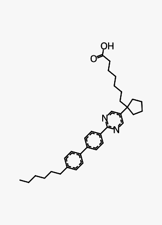 CCCCCCc1ccc(-c2ccc(-c3ncc(C4(CCCCCCC(=O)O)CCCC4)cn3)cc2)cc1